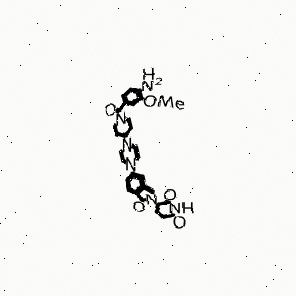 COc1cc(C(=O)N2CCC(N3CCN(c4ccc5c(c4)CN(C4CCC(=O)NC4=O)C5=O)CC3)CC2)ccc1N